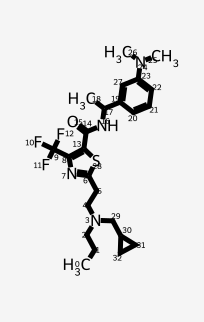 CCCN(CCc1nc(C(F)(F)F)c(C(=O)NC(C)c2cccc(N(C)C)c2)s1)CC1CC1